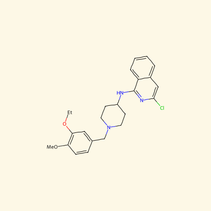 CCOc1cc(CN2CCC(Nc3nc(Cl)cc4ccccc34)CC2)ccc1OC